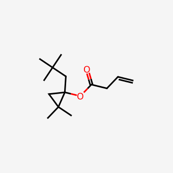 C=CCC(=O)OC1(CC(C)(C)C)CC1(C)C